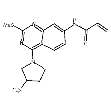 C=CC(=O)Nc1ccc2c(N3CCC(N)C3)nc(OC)nc2c1